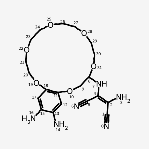 N#C/C(N)=C(\C#N)NC1COc2cc(N)c(N)cc2OCCOCCOCCOCCO1